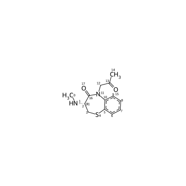 CN[C@H]1CSc2ccccc2N(CC(C)=O)C1=O